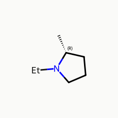 [CH2]CN1CCC[C@H]1C